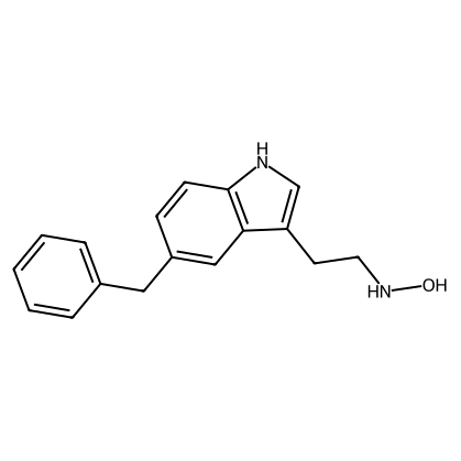 ONCCc1c[nH]c2ccc(Cc3ccccc3)cc12